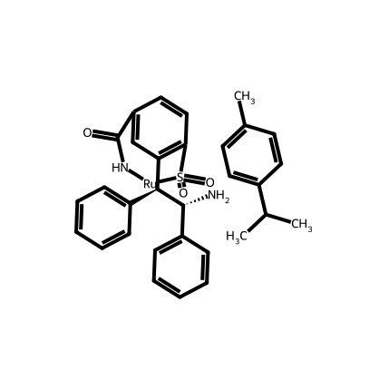 Cc1ccc(C(C)C)cc1.N[C@H](c1ccccc1)[C@@H](c1ccccc1)c1cc2ccc1[S](=O)(=O)[Ru][NH]C2=O